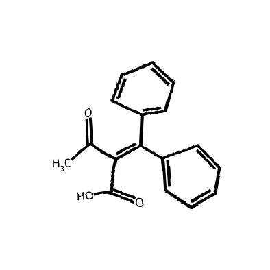 CC(=O)C(C(=O)O)=C(c1ccccc1)c1ccccc1